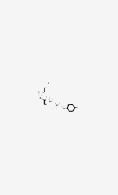 COCCN(C)C(=O)c1csc(NC(=O)NCc2ccc(Cl)c(Cl)c2)n1